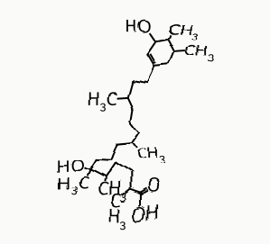 CC(CCCC(C)CCC1=CC(O)C(C)C(C)C1)CCCC(C)(O)C(C)CCC(C)C(=O)O